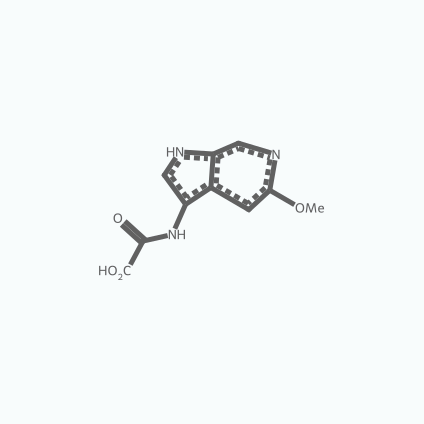 COc1cc2c(NC(=O)C(=O)O)c[nH]c2cn1